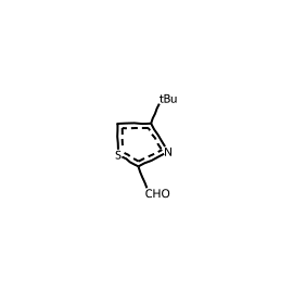 CC(C)(C)c1csc(C=O)n1